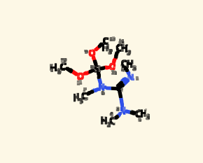 CN=C(N(C)C)N(C)[Si](OC)(OC)OC